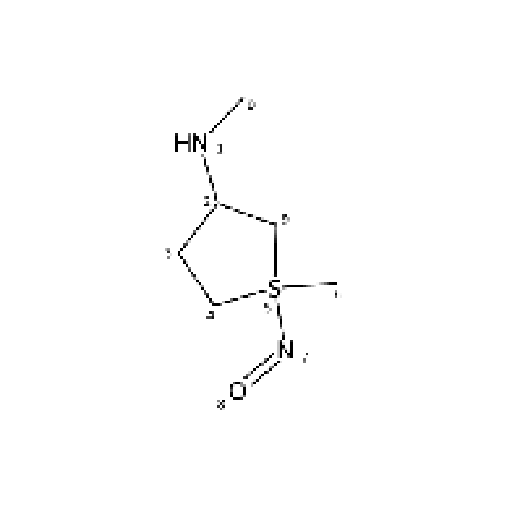 CNC1CCS(C)(N=O)C1